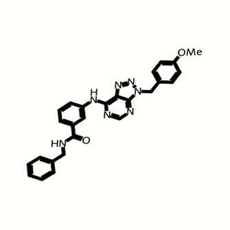 COc1ccc(Cn2nnc3c(Nc4cccc(C(=O)NCc5ccccc5)c4)ncnc32)cc1